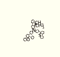 CC1(C)c2ccccc2-c2ccc(N(c3ccc(-c4ccc5c(oc6ccccc65)c4-c4ccccc4)cc3)c3ccc(-c4cccc5c4sc4ccccc45)cc3)cc21